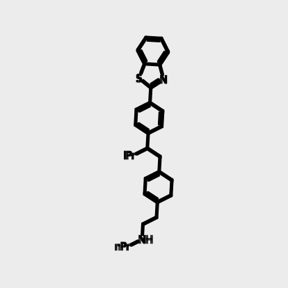 CCCNCCC1=CC=C(CC(c2ccc(-c3nc4ccccc4s3)cc2)C(C)C)CC1